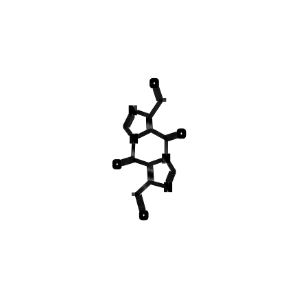 O=[C]c1ncn2c(=O)c3c([C]=O)ncn3c(=O)c12